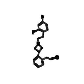 O=CCc1ccccc1C1CN(CCc2ccc(F)cc2F)C1